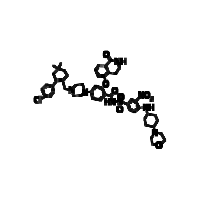 CC1(C)CCC(CN2CCN(c3ccc(C(=O)NS(=O)(=O)c4ccc(NC5CCC(N6CCOCC6)CC5)c([N+](=O)[O-])c4)c(Oc4cccc5c4CCNC5=O)c3)CC2)=C(c2ccc(Cl)cc2)C1